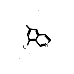 Cc1cc(Cl)c2cnccc2c1